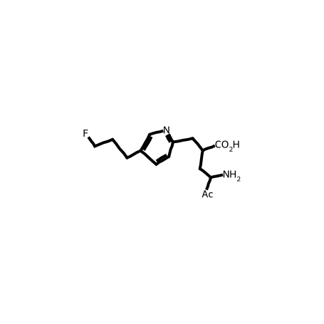 CC(=O)C(N)CC(Cc1ccc(CCCF)cn1)C(=O)O